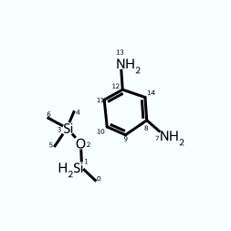 C[SiH2]O[Si](C)(C)C.Nc1cccc(N)c1